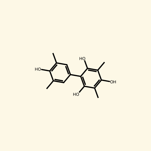 Cc1cc(-c2c(O)c(C)c(O)c(C)c2O)cc(C)c1O